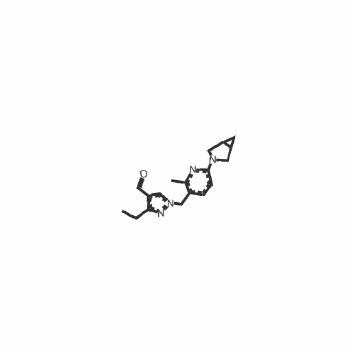 CCc1nn(Cc2ccc(N3CC4CC4C3)nc2C)cc1C=O